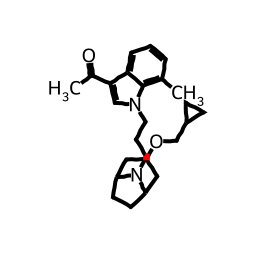 CC(=O)c1cn(CCCN2C3CCC2CC(OCC2CC2)C3)c2c(C)cccc12